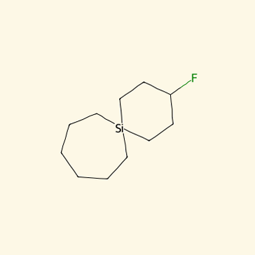 FC1CC[Si]2(CCCCCC2)CC1